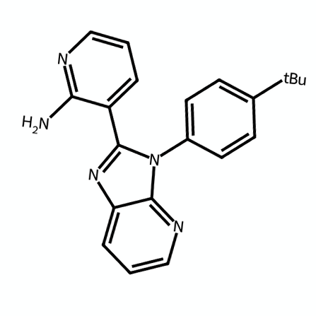 CC(C)(C)c1ccc(-n2c(-c3cccnc3N)nc3cccnc32)cc1